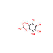 OC(O)O[C@@H]1[C@@H](O)[C@H](O)[C@@H](O)[C@H](O)[C@@H]1O